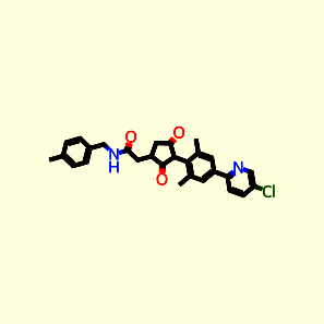 Cc1ccc(CNC(=O)CC2CC(=O)C(c3c(C)cc(-c4ccc(Cl)cn4)cc3C)C2=O)cc1